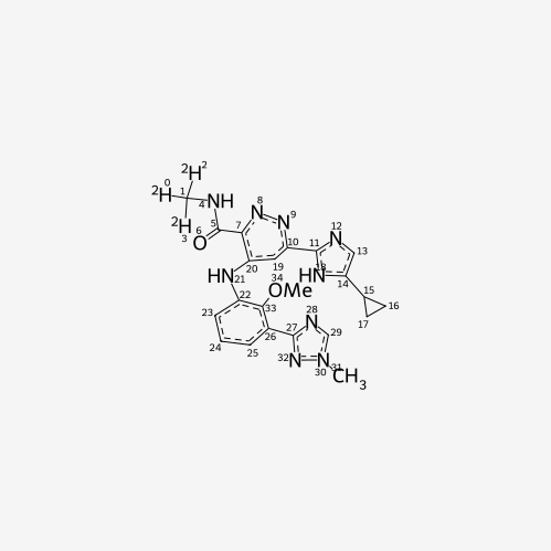 [2H]C([2H])([2H])NC(=O)c1nnc(-c2ncc(C3CC3)[nH]2)cc1Nc1cccc(-c2ncn(C)n2)c1OC